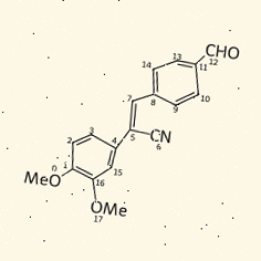 COc1ccc(C(C#N)=Cc2ccc(C=O)cc2)cc1OC